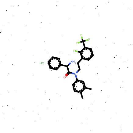 Cc1ccc(N(CCc2cccc(C(F)(F)F)c2F)C(=O)C(N)c2ccccc2)cc1C.Cl